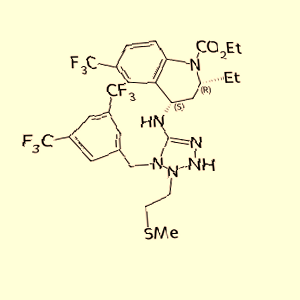 CCOC(=O)N1c2ccc(C(F)(F)F)cc2[C@@H](NC2=NNN(CCSC)N2Cc2cc(C(F)(F)F)cc(C(F)(F)F)c2)C[C@H]1CC